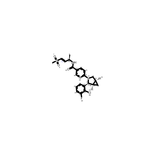 C[C@H](/C=C/S(C)(=O)=O)NC(=O)c1ccc(N2C[C@H]3C[C@H]3[C@H]2c2cccc(F)c2Cl)nc1